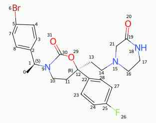 C[C@@H](c1ccc(Br)cc1)N1CC[C@](CCN2CCNC(=O)C2)(c2ccc(F)cc2)OC1=O